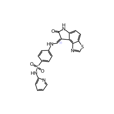 O=C1Nc2ccc3scnc3c2/C1=C/Nc1ccc(S(=O)(=O)Nc2ccccn2)cc1